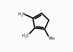 CC1=C(C(C)(C)C)CC=C1N